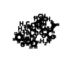 CC(C)(C)[C@H](NC(=O)NC1(CS(=O)(=O)c2ccccc2)CCCC1)C(=O)N1C[C@H]2[C@@H]([C@H]1C(=O)NC(CC1CC1)C(=O)C(N)=O)C2(C)C